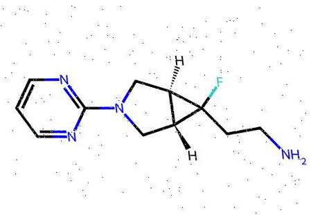 NCCC1(F)[C@@H]2CN(c3ncccn3)C[C@H]21